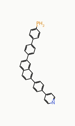 Pc1ccc(-c2ccc(-c3ccc4ccc(-c5ccc(-c6ccncc6)cc5)cc4c3)cc2)cc1